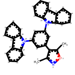 Cc1noc(C)c1-c1cc(-n2c3ccccc3c3ccccc32)cc(-n2c3ccccc3c3ccccc32)c1